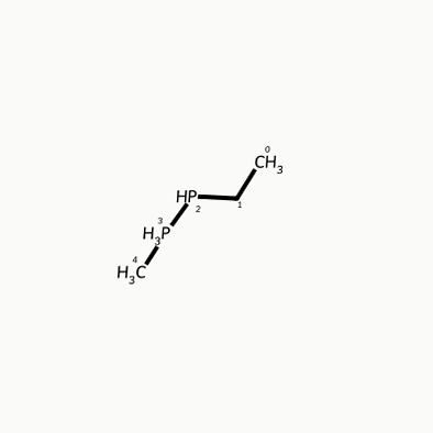 CCP[PH3]C